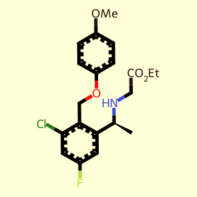 CCOC(=O)CN[C@@H](C)c1cc(F)cc(Cl)c1COc1ccc(OC)cc1